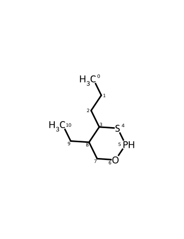 CCCC1SPOCC1CC